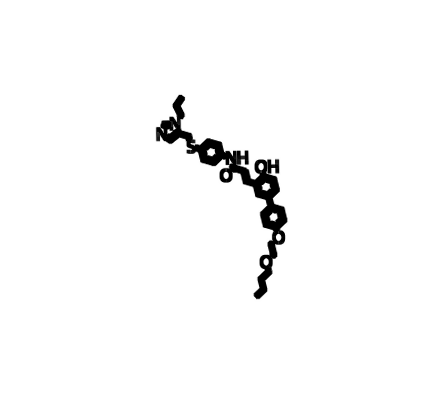 CCCCOCCOc1ccc(-c2ccc(O)c(/C=C/C(=O)Nc3ccc(SCc4cncn4CCC)cc3)c2)cc1